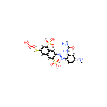 CNc1ccc(N=Nc2cc3c(S(=O)(=O)O)cc(SOOO)cc3cc2S(=O)(=O)O)c(NC(N)=O)c1